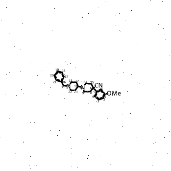 COc1cccc(C2(C#N)CCN(C3CCN(Cc4ccccc4)CC3)CC2)c1